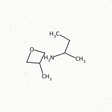 CC1COC1.CCC(C)N